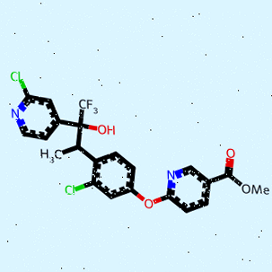 COC(=O)c1ccc(Oc2ccc(C(C)C(O)(c3ccnc(Cl)c3)C(F)(F)F)c(Cl)c2)nc1